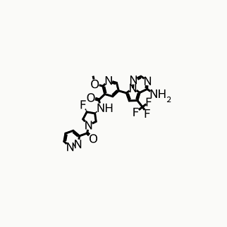 COc1ncc(-c2cc(C(F)(F)F)c3c(N)ncnn23)cc1C(=O)N[C@@H]1CN(C(=O)c2cccnn2)C[C@@H]1F